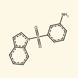 Nc1cccc(S(=O)(=O)n2ccc3ccccc32)c1